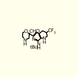 CC(C)(C)Nc1nc(C2(C=O)CNCCO2)cc2c1NCC(C(F)(F)F)C2